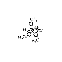 C=Cc1ccc2c(c1)-c1cc(C=C)ccc1[CH]2/[Zr+2]([C]1=CC=CC1)=[C](\C)c1ccc(C)cc1.[Cl-].[Cl-]